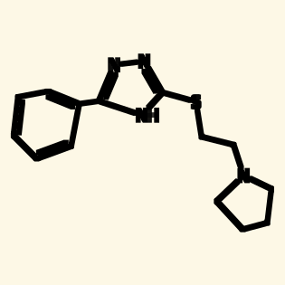 c1ccc(-c2nnc(SCCN3CCCC3)[nH]2)cc1